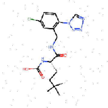 CC(C)(C)CC[C@H](NC(=O)O)C(=O)NCc1cc(Cl)ccc1-n1cnnn1